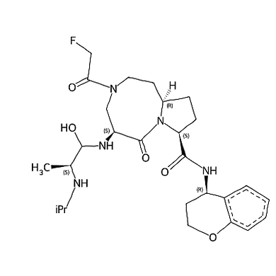 CC(C)N[C@@H](C)C(O)N[C@H]1CN(C(=O)CF)CC[C@H]2CC[C@@H](C(=O)N[C@@H]3CCOc4ccccc43)N2C1=O